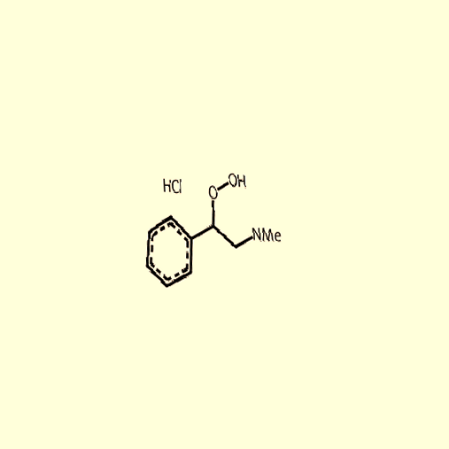 CNCC(OO)c1ccccc1.Cl